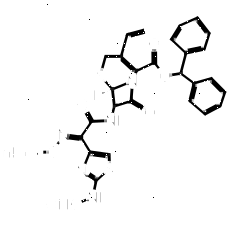 C=CC1=C(C(=O)OC(c2ccccc2)c2ccccc2)N2C(=O)C(NC(=O)/C(=N/OCCCCCC)c3csc(NC=O)n3)[C@H]2SC1